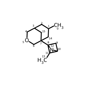 CC1CC2COCC(C34CC(C3)N4C)(C1)C2